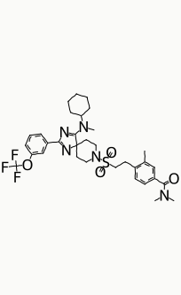 Cc1cc(C(=O)N(C)C)ccc1CCS(=O)(=O)N1CCC2(CC1)N=C(c1cccc(OC(F)(F)F)c1)N=C2N(C)C1CCCCC1